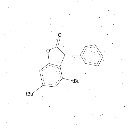 CC(C)(C)c1cc2c(c(C(C)(C)C)c1)C(c1ccccc1)C(=O)O2